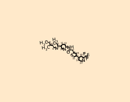 C\C=C(/N=C\C=C(/C)CC)c1ccc(NC(=O)Cc2cc(-c3ccnc(C(F)(F)F)c3)cs2)nc1